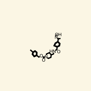 CC(=NO)c1ccc(C(=O)NCC2CCN(C(=O)OCc3ccc(C)cc3)CC2)cc1